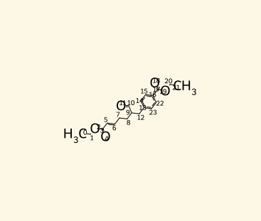 CCOC(=O)C=CCCC(C=O)Cc1ccc(C(=O)OCC)cc1